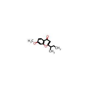 CCC(C)c1cc(=O)c2ccc(OC)cc2o1